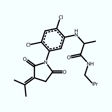 CC(C)=C1CC(=O)N(c2cc(NC(C)C(=O)NCC(C)C)c(Cl)cc2Cl)C1=O